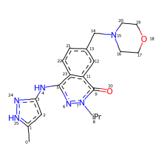 Cc1cc(Nc2nn(C(C)C)c(=O)c3cc(CN4CCOCC4)ccc23)n[nH]1